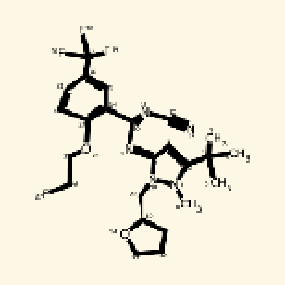 Cn1c(C(C)(C)C)c/c(=N\C(=NC#N)c2cc(C(F)(F)F)ccc2OCCF)n1C[C@H]1CCCO1